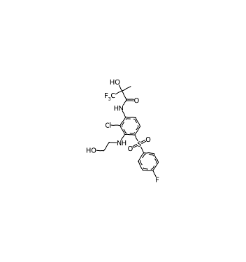 CC(O)(C(=O)Nc1ccc(S(=O)(=O)c2ccc(F)cc2)c(NCCO)c1Cl)C(F)(F)F